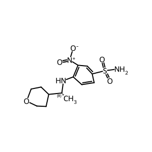 C[C@@H](Nc1ccc(S(N)(=O)=O)cc1[N+](=O)[O-])C1CCOCC1